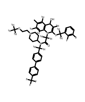 [2H]C1=C(SC([2H])([2H])c2cccc(F)c2F)N(C([2H])([2H])C(=O)N(C2CCN(CCOC([2H])([2H])[2H])CC2)C([2H])([2H])c2ccc(-c3ccc(C(F)(F)F)cc3)cc2)c2c([2H])c([2H])c(C)c([2H])c2C1O